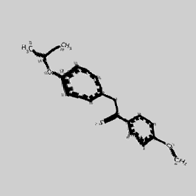 COc1ccc(C(=S)Cc2ccc(OC(C)C)cc2)cc1